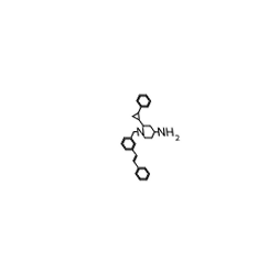 NC1CCN(Cc2cccc(/C=C/c3ccccc3)c2)C(C2CC2c2ccccc2)C1